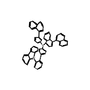 c1cc(-c2cccc3ccccc23)cc(N(c2ccc(-c3ccccc3-n3c4ccccc4c4ccccc43)cc2)c2ccc(-c3cccc4ccccc34)c3ccccc23)c1